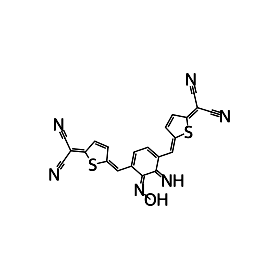 N#CC(C#N)=c1cc/c(=C\C2=CC=C(/C=c3\ccc(=C(C#N)C#N)s3)/C(=N/O)C2=N)s1